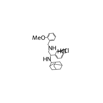 COc1ccccc1CNCC(NC1C2CC3CC(C2)CC1C3)c1ccccc1.Cl.Cl